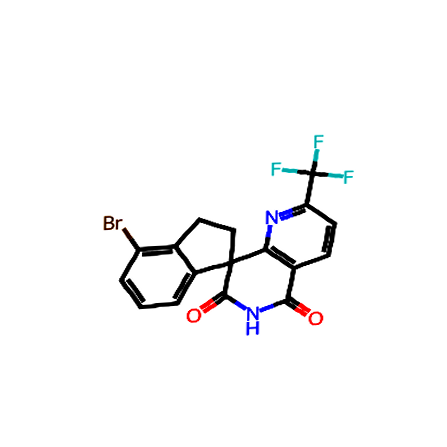 O=C1NC(=O)C2(CCc3c(Br)cccc32)c2nc(C(F)(F)F)ccc21